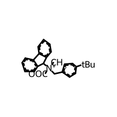 CC(C)(C)c1ccc(C[N+](C)(C(=O)[O-])C2c3ccccc3-c3ccccc32)cc1